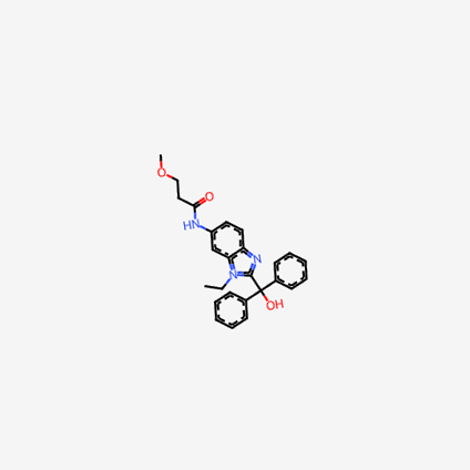 CCn1c(C(O)(c2ccccc2)c2ccccc2)nc2ccc(NC(=O)CCOC)cc21